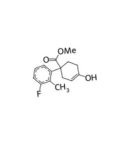 COC(=O)C1(c2cccc(F)c2C)CC=C(O)CC1